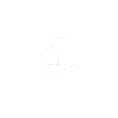 CCCCC1CCCC2CCC(CO)OC12